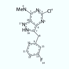 CNc1nc(Cl)nc2c(Cc3cccc(F)c3)[nH]nc12